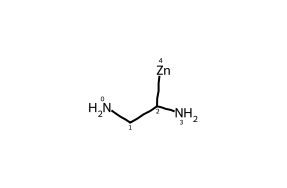 NC[CH](N)[Zn]